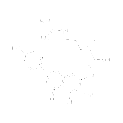 N=C(N)NCCC[C@H](N)C(=O)O.O=c1cc(-c2ccc(O)cc2)oc2cc(O)c(O)c(O)c12